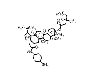 C=C(C)[C@@H]1CC[C@]2(CC(=O)N[C@H]3CC[C@H](N)CC3)CC[C@]3(C)[C@H](CC[C@@H]4[C@@]5(C)CC[C@H](OC(=O)CC(C)(C)CC(=O)O)C(C)(C)[C@@H]5CC[C@]43C)[C@@H]12